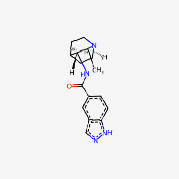 C[C@H]1[C@H](NC(=O)c2ccc3[nH]ncc3c2)C2CCN1CC2